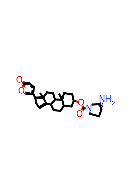 CC12CCC3C(CCC4CC(OC(=O)N5CCC[C@H](N)C5)CCC43C)C1=CCC2c1ccc(=O)oc1